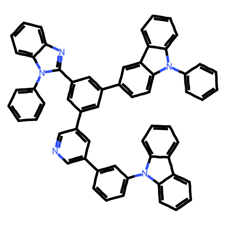 c1ccc(-n2c(-c3cc(-c4cncc(-c5cccc(-n6c7ccccc7c7ccccc76)c5)c4)cc(-c4ccc5c(c4)c4ccccc4n5-c4ccccc4)c3)nc3ccccc32)cc1